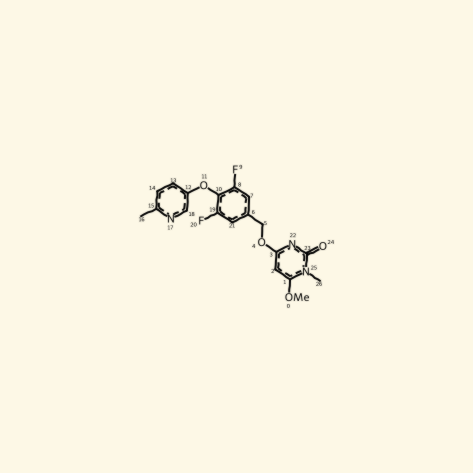 COc1cc(OCc2cc(F)c(Oc3ccc(C)nc3)c(F)c2)nc(=O)n1C